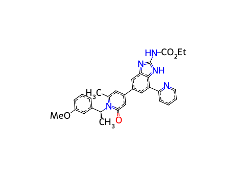 CCOC(=O)Nc1nc2cc(-c3cc(C)n([C@@H](C)c4cccc(OC)c4)c(=O)c3)cc(-c3ccccn3)c2[nH]1